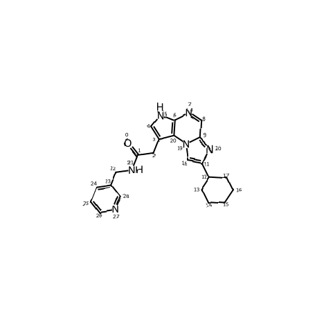 O=C(Cc1c[nH]c2ncc3nc(C4CCCCC4)cn3c12)NCc1cccnc1